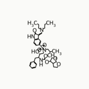 CCCN(C=C1C(=O)Nc2ccc(S(=O)(=O)N(CC(C)C)CC(O)C(Cc3ccccc3)NC(=O)OC3COC4OCCC34)cc21)CCC